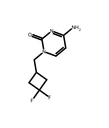 Nc1ccn(CC2CC(F)(F)C2)c(=O)n1